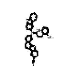 C=C(/C=C\c1ccccc1C)N(c1ccc2sc3ccccc3c2c1)c1ccc2ccc3c4cc(C#N)ccc4sc3c2c1